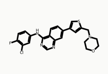 Fc1ccc(Nc2ncnc3cc(-c4csc(CN5CCOCC5)c4)ccc23)cc1Cl